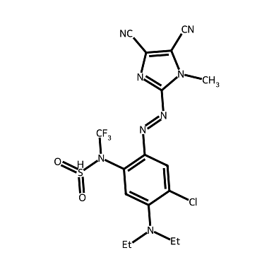 CCN(CC)c1cc(N([SH](=O)=O)C(F)(F)F)c(N=Nc2nc(C#N)c(C#N)n2C)cc1Cl